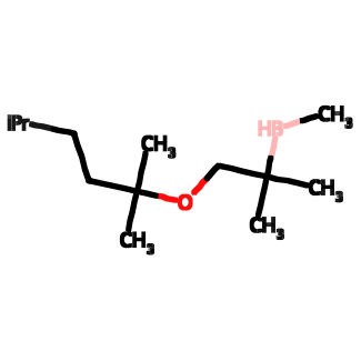 CBC(C)(C)COC(C)(C)CCC(C)C